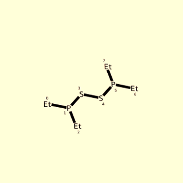 CCP(CC)SSP(CC)CC